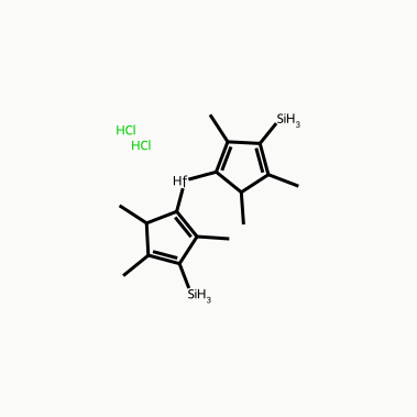 CC1=[C]([Hf][C]2=C(C)C([SiH3])=C(C)C2C)C(C)C(C)=C1[SiH3].Cl.Cl